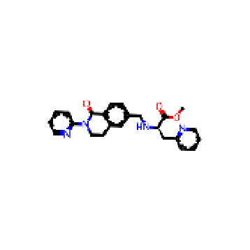 COC(=O)[C@@H](Cc1ccccn1)NCc1ccc2c(c1)CCN(c1ccccn1)C2=O